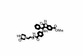 COC(=O)c1ccc2c(c1)NC(=O)C2=C(Nc1ccc(C(=O)NOCCN2CCNC(=O)C2)cc1)c1ccccc1